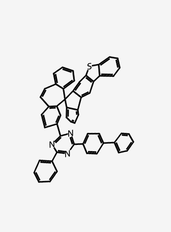 C1=Cc2ccc(-c3nc(-c4ccccc4)nc(-c4ccc(-c5ccccc5)cc4)n3)cc2C2(c3ccccc31)c1ccccc1-c1cc3c(cc12)sc1ccccc13